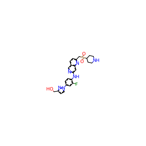 O=S(=O)(Cc1ccc2cnc(Nc3ccc(-n4ccc(CO)n4)cc3F)cc2n1)C1CCNCC1